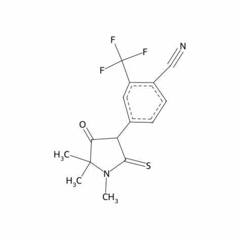 CN1C(=S)C(c2ccc(C#N)c(C(F)(F)F)c2)C(=O)C1(C)C